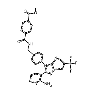 COC(=O)c1ccc(C(=O)NCc2ccc(-n3c(-c4cccnc4N)nc4cc(C(F)(F)F)cnc43)cc2)cc1